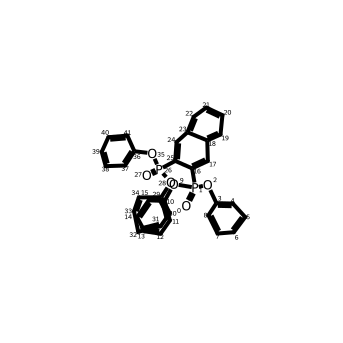 O=P(Oc1ccccc1)(Oc1ccccc1)c1cc2ccccc2cc1P(=O)(Oc1ccccc1)Oc1ccccc1